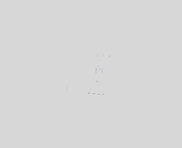 C1CC1.Cl.NC=O